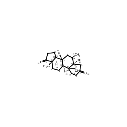 C[C@@H]1C[C@@H]2[C@H](CC[C@]3(C)C(=O)CC[C@@H]23)[C@@]2(CO)CCC(=O)C[C@]12O